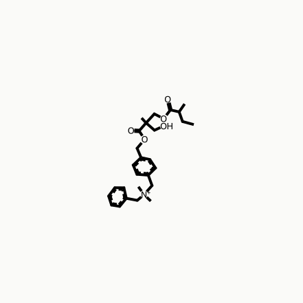 CCC(C)C(=O)OCC(C)(CO)C(=O)OCc1ccc(C[N+](C)(C)Cc2ccccc2)cc1